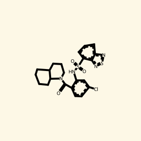 O=C(c1ccc(Cl)cc1NS(=O)(=O)c1cccc2nsnc12)N1CCCC2CCCCC21